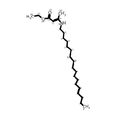 CCCCCCCCCCCCCCCCCCNC(C)=CC(=O)OCC